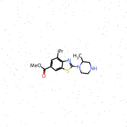 COC(=O)c1cc(C(C)C)c2nc(N3CCNCC3C)sc2c1